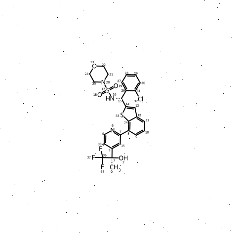 C[C@@](O)(c1ccnc(-c2cccc3cc([C@H](NS(=O)(=O)N4CCOCC4)c4ccccc4Cl)sc23)c1)C(F)(F)F